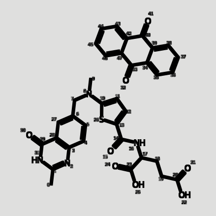 Cc1nc2ccc(CN(C)c3ccc(C(=O)NC(CCC(=O)O)C(=O)O)s3)cc2c(=O)[nH]1.O=C1c2ccccc2C(=O)c2ccccc21